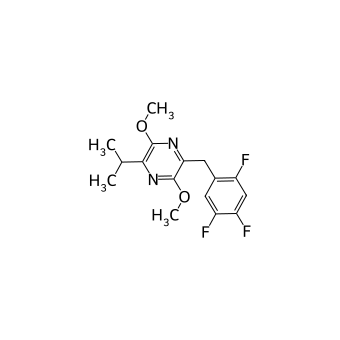 COc1nc(C(C)C)c(OC)nc1Cc1cc(F)c(F)cc1F